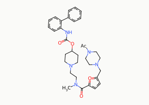 CC(=O)N1CCN(Cc2ccc(C(=O)N(C)CCN3CCC(OC(=O)Nc4ccccc4-c4ccccc4)CC3)o2)CC1